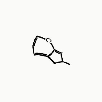 CC1[C]=C2OC=CC=C2C1